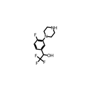 OC(c1ccc(F)c(N2CCNCC2)c1)C(F)(F)F